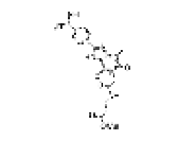 COC(=O)CCNC(=O)Cn1c(=O)c2[nH]c(-c3ccc(C(=N)N)cc3)nc2n(C)c1=O